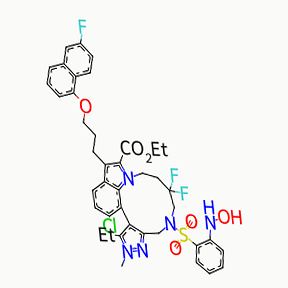 CCOC(=O)c1c(CCCOc2cccc3cc(F)ccc23)c2ccc(Cl)c3c2n1CCC(F)(F)CN(S(=O)(=O)c1ccccc1NO)Cc1nn(C)c(CC)c1-3